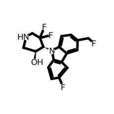 O[C@H]1CNCC(F)(F)[C@@H]1n1c2ccc(F)cc2c2cc(CF)ccc21